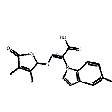 CC1=C(C)C(O/C=C(/C(=O)O)n2ccc3cc(F)ccc32)OC1=O